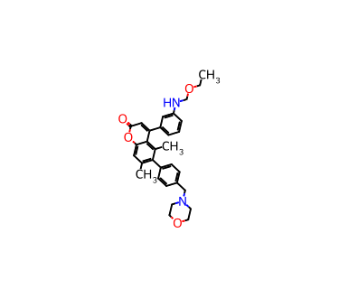 CCOCNc1cccc(-c2cc(=O)oc3cc(C)c(-c4ccc(CN5CCOCC5)cc4)c(C)c23)c1